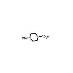 O=NN1CCN(C(=O)O)CC1